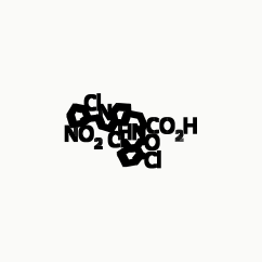 O=C(NC(Cc1ccc2nc(-c3c(Cl)cccc3[N+](=O)[O-])ccc2c1)C(=O)O)c1c(Cl)cccc1Cl